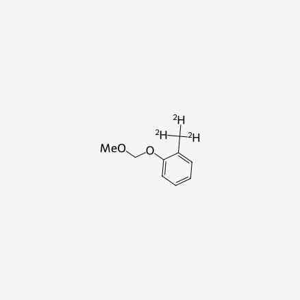 [2H]C([2H])([2H])c1ccccc1OCOC